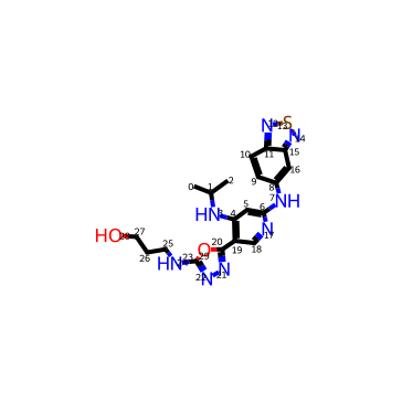 CC(C)Nc1cc(Nc2ccc3nsnc3c2)ncc1-c1nnc(NCCCO)o1